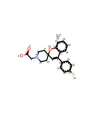 O=C([O-])CN1CCC2(C=C(c3ccc(F)cc3)c3ccccc3O2)CC1.[Li+]